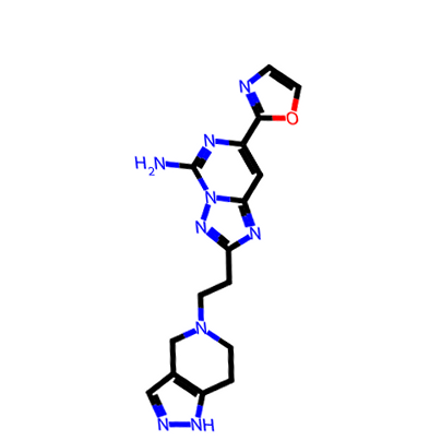 Nc1nc(-c2ncco2)cc2nc(CCN3CCc4[nH]ncc4C3)nn12